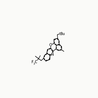 Cc1cc2c3c(cc(CC(C)(C)C)cc3c1)Oc1cc3cc(CC(C)(C)C(F)(F)F)ccc3nc1-2